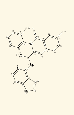 CC(Nc1ncnc2[nH]cnc12)c1nc2ccc(F)cc2c(=O)n1-c1ccccc1F